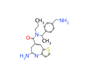 CCCN(C(=O)C1=Cc2sccc2N=C(N)C1)C(C)c1ccc(CN)cc1